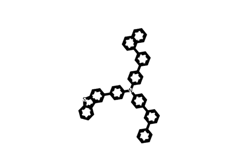 c1ccc(-c2cccc(-c3ccc(N(c4ccc(-c5cccc(-c6cccc7ccccc67)c5)cc4)c4ccc(-c5ccc6sc7ccccc7c6c5)cc4)cc3)c2)cc1